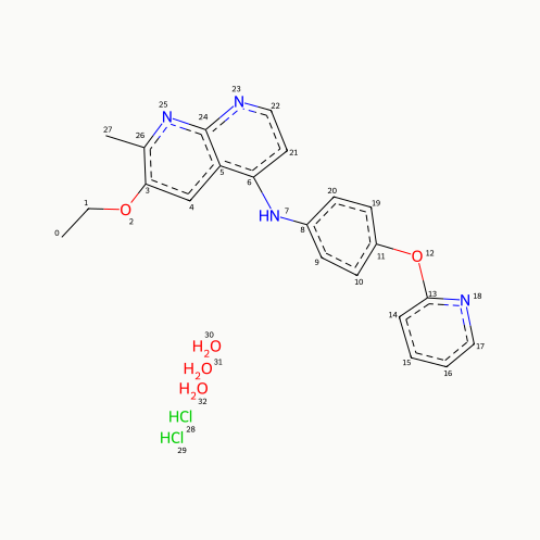 CCOc1cc2c(Nc3ccc(Oc4ccccn4)cc3)ccnc2nc1C.Cl.Cl.O.O.O